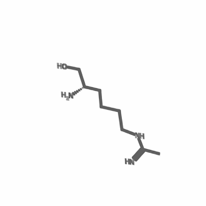 CC(=N)NCCCC[C@H](N)CO